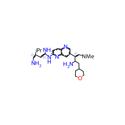 CN/C=C(/c1cnc2ccc(N/C(N)=C/C(=C\N)C(C)C)nc2c1)C(N)CC1CCOCC1